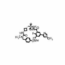 COc1ccc(CN(C)C(=O)N[C@H]2C[C@@H](CS(=O)(=O)NNC(=O)c3cc(-c4cn(C)cn4)cc(Cl)c3F)C2)cc1